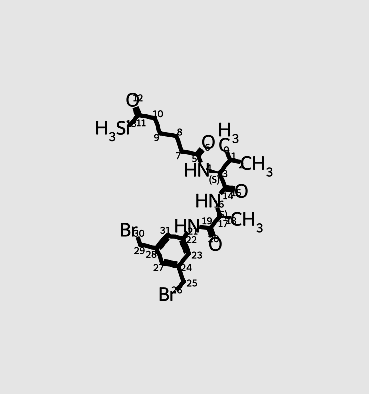 CC(C)[C@H](NC(=O)CCCCC(=O)[SiH3])C(=O)N[C@@H](C)C(=O)Nc1cc(CBr)cc(CBr)c1